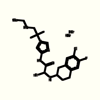 Br.Br.CCCC(NC1CCc2cc(F)c(Cl)cc2C1)C(=O)Nc1cn(C(C)(C)CNCC(C)(C)C)cn1